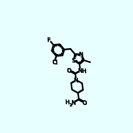 Cc1nc(Cc2cc(F)cc(Cl)c2)sc1NC(=O)N1CCC(C(N)=O)CC1